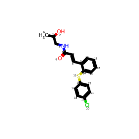 CC(O)CNC(=O)/C=C/c1ccccc1Sc1ccc(Cl)cc1